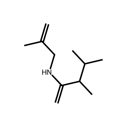 C=C(C)CNC(=C)C(C)C(C)C